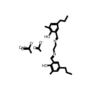 CC(=O)[O-].CC(=O)[O-].CCCc1cc(C)c(O)c(C=NCCN=Cc2cc(CCC)cc(C)c2O)c1.[Co+2]